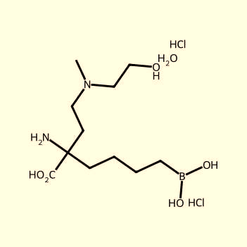 CN(CCO)CCC(N)(CCCCB(O)O)C(=O)O.Cl.Cl.O